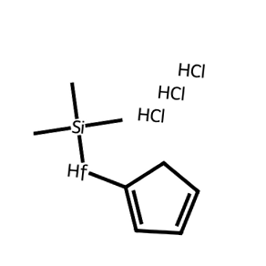 C[Si](C)(C)[Hf][C]1=CC=CC1.Cl.Cl.Cl